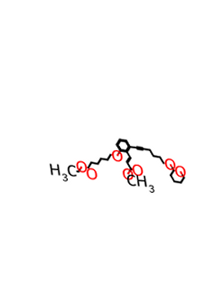 CCOC(=O)CCCCCOc1cccc(C#CCCCCOC2CCCCO2)c1C=CC(=O)OC